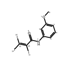 COc1cccc(NC(=O)C(I)=C(I)I)c1